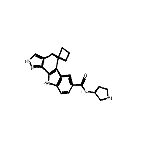 O=C(NC1CCNC1)c1ccc2[nH]c3c(c2c1)C1(CCC1)Cc1c[nH]nc1-3